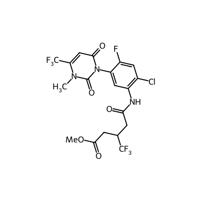 COC(=O)CC(CC(=O)Nc1cc(-n2c(=O)cc(C(F)(F)F)n(C)c2=O)c(F)cc1Cl)C(F)(F)F